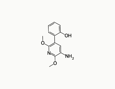 COc1nc(OC)c(-c2ccccc2O)cc1N